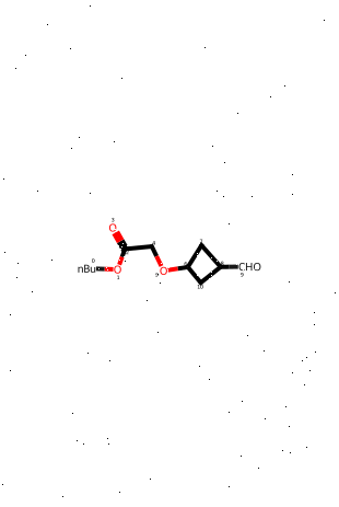 CCCCOC(=O)COC1CC(C=O)C1